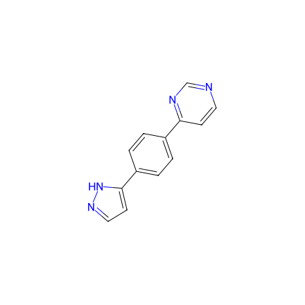 c1cc(-c2ccc(-c3ccn[nH]3)cc2)ncn1